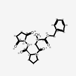 CN(CC(=O)N1CCC[C@H]1C(=O)ON1C(=O)CCC1=O)C(=O)OCc1ccccc1